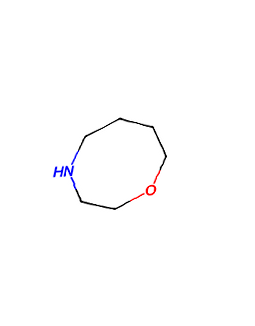 C1CCOCCNC1